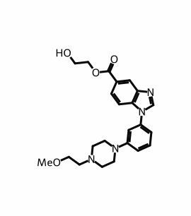 COCCN1CCN(c2cccc(-n3cnc4cc(C(=O)OCCO)ccc43)c2)CC1